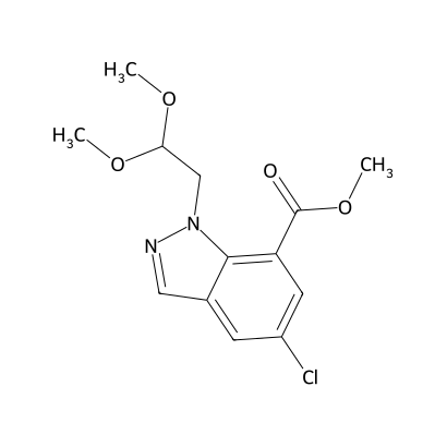 COC(=O)c1cc(Cl)cc2cnn(CC(OC)OC)c12